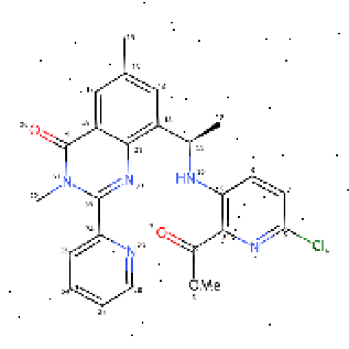 COC(=O)c1nc(Cl)ccc1N[C@H](C)c1cc(C)cc2c(=O)n(C)c(-c3ccccn3)nc12